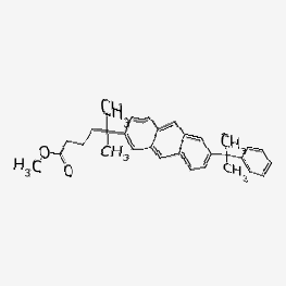 COC(=O)CCCC(C)(C)c1ccc2cc3cc(C(C)(C)c4ccccc4)ccc3cc2c1